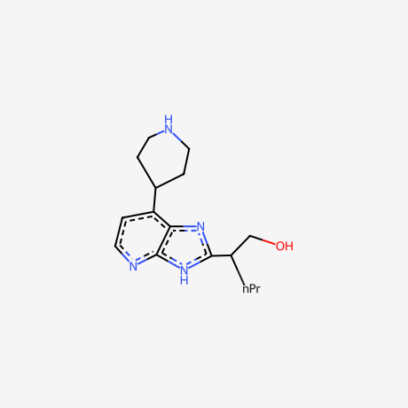 CCCC(CO)c1nc2c(C3CCNCC3)ccnc2[nH]1